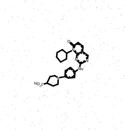 O=C(O)C1CCN(c2ccc(Nc3ncc4ccc(=O)n(C5CCCCC5)c4n3)cc2)CC1